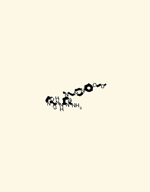 COCCOc1ccc(N2CCN(CCN(C)c3cc(NNC(=O)c4ncco4)nc(N)n3)CC2)cc1